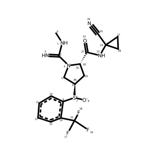 CNC(=N)N1C[C@H]([S+]([O-])c2ccccc2C(F)(F)F)C[C@H]1C(=O)NC1(C#N)CC1